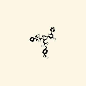 Cc1ccc(CNC(=O)CC2CN(c3cc(Cl)nc(-n4ccnc4)n3)CCN2C(=O)NS(=O)(=O)c2ccccc2)cc1